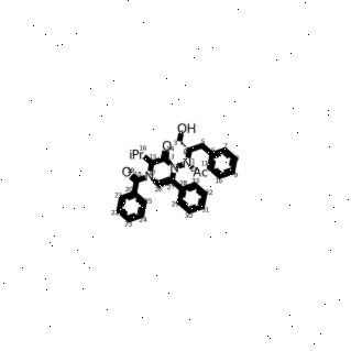 CC(=O)N([C@H](CO)Cc1ccccc1)N1C(=O)C(C(C)C)N(C(=O)c2ccccc2)C=C1c1ccccc1